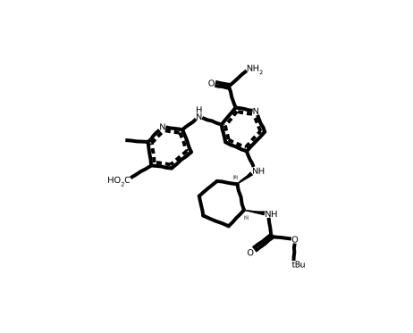 Cc1nc(Nc2cc(N[C@@H]3CCCC[C@@H]3NC(=O)OC(C)(C)C)cnc2C(N)=O)ccc1C(=O)O